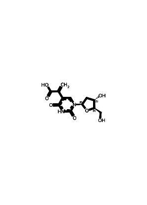 C=C(C(=O)O)c1cn([C@H]2C[C@H](O)[C@@H](CO)O2)c(=O)[nH]c1=O